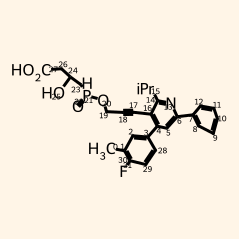 Cc1cc(-c2cc(-c3ccccc3)nc(C(C)C)c2C#CCO[PH](=O)CC(O)CC(=O)O)ccc1F